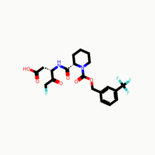 O=C(O)C[C@H](NC(=O)[C@@H]1CCCCN1C(=O)OCc1cccc(C(F)(F)F)c1)C(=O)CF